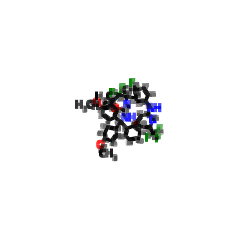 COc1ccc(C(NC2=N[C@](C)(c3cc(Nc4cccc(C(F)(F)F)n4)ccc3F)C(F)(F)C(C)(C)O2)(c2ccccc2)c2ccc(OC)cc2)cc1